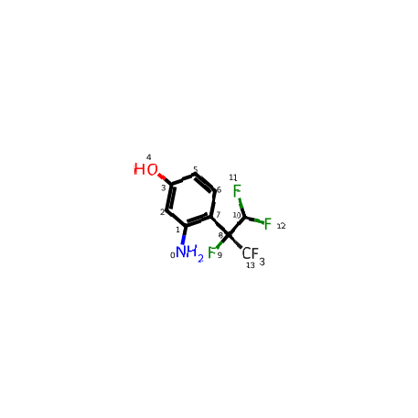 Nc1cc(O)ccc1C(F)(C(F)F)C(F)(F)F